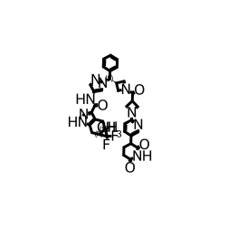 C[C@@]12Cc3[nH]nc(C(=O)Nc4cnn([C@H](c5ccccc5)C5CN(C(=O)C6CN(c7ccc(C8CCC(=O)NC8=O)cn7)C6)C5)c4)c3C[C@@H]1C2(F)F